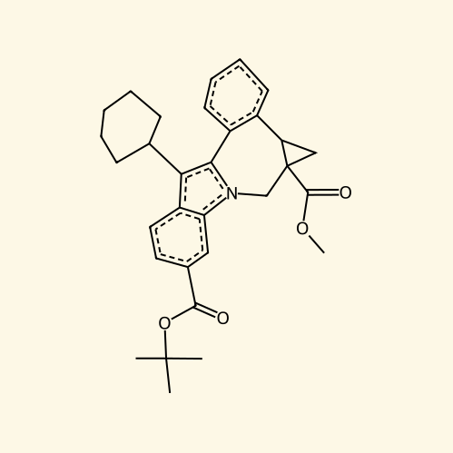 COC(=O)C12CC1c1ccccc1-c1c(C3CCCCC3)c3ccc(C(=O)OC(C)(C)C)cc3n1C2